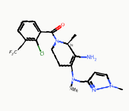 CNN(C1=C(N)[C@H](C)N(C(=O)c2cccc(C(F)(F)F)c2Cl)CC1)c1ccn(C)n1